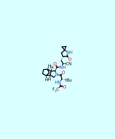 CC(C)(C)[C@H](NC(=O)C(F)(F)F)C(=O)N1C[C@@H]2[C@@H]3CC[C@@H](C3)[C@@H]2[C@H]1C(=O)N[C@H](C#N)C[C@@H]1CC2(CC2)NC1=O